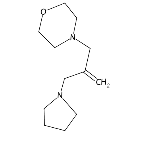 C=C(CN1CCCC1)CN1CCOCC1